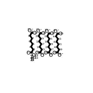 O=C([O-])CCCCCCC(=O)[O-].O=C([O-])CCCCCCC(=O)[O-].O=C([O-])CCCCCCC(=O)[O-].O=C([O-])CCCCCCC(=O)[O-].[Ti+4].[Ti+4]